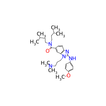 COc1ccc(Nc2nc3ccc(C(=O)N(CCC(C)C)CCC(C)C)cc3n2CCCN(C)C)cc1